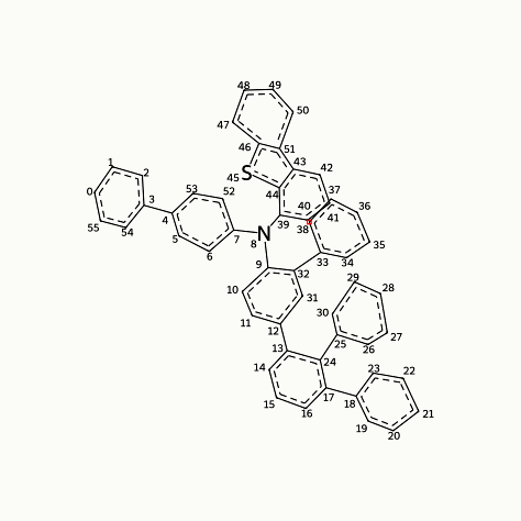 c1ccc(-c2ccc(N(c3ccc(-c4cccc(-c5ccccc5)c4-c4ccccc4)cc3-c3ccccc3)c3cccc4c3sc3ccccc34)cc2)cc1